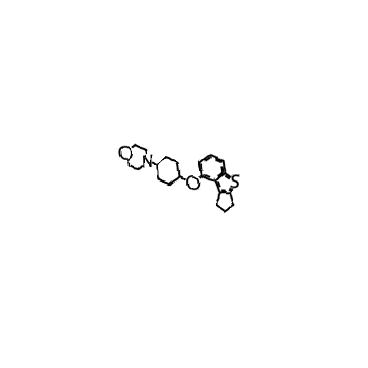 c1cc(OC2CCC(N3CCOCC3)CC2)c2c3c(sc2c1)CCC3